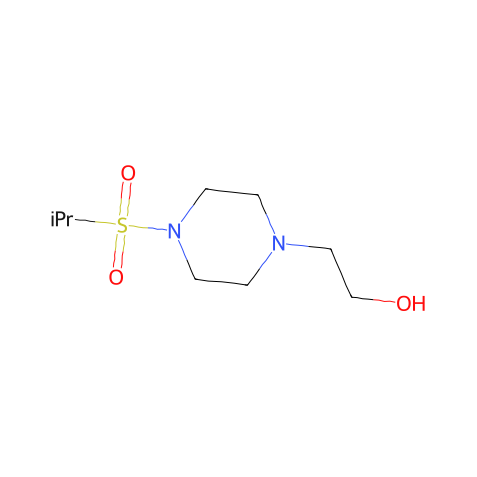 CC(C)S(=O)(=O)N1CCN(CCO)CC1